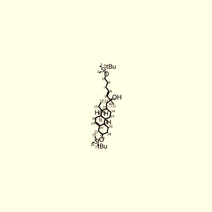 CC(C)(C)[Si](C)(C)OCCC/C=C/[C@](C)(O)[C@H]1CC[C@H]2[C@@H]3CC=C4CC(O[Si](C)(C)C(C)(C)C)CC[C@]4(C)[C@H]3CC[C@@]21C